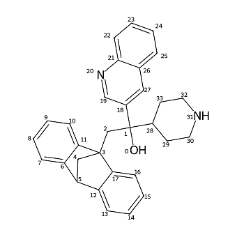 OC(CC12CC(c3ccccc31)c1ccccc12)(c1cnc2ccccc2c1)C1CCNCC1